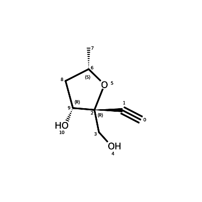 C#C[C@]1(CO)O[C@@H](C)C[C@H]1O